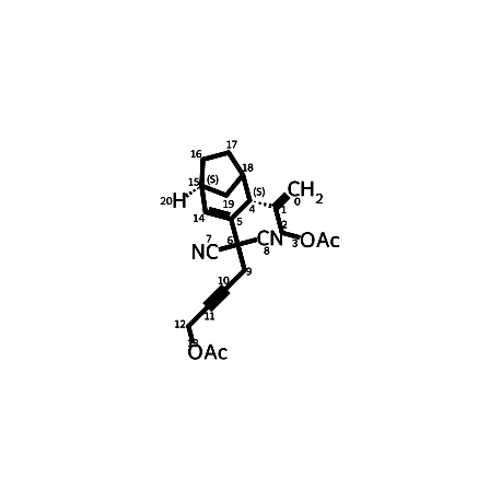 C=C(COC(C)=O)[C@@H]1C(C(C#N)(C#N)CC#CCOC(C)=O)=C[C@H]2CCC1C2